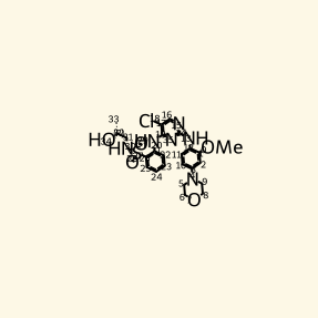 COc1cc(N2CCOCC2)ccc1Nc1ncc(Cl)c(Nc2ccccc2S(=O)(=O)NC[C@@H](C)O)n1